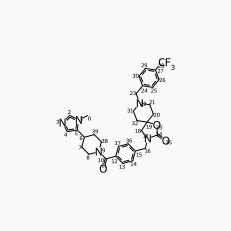 Cn1cncc1C1CCN(C(=O)c2ccc(CN3CC4(CCN(Cc5ccc(C(F)(F)F)cc5)CC4)OC3=O)cc2)CC1